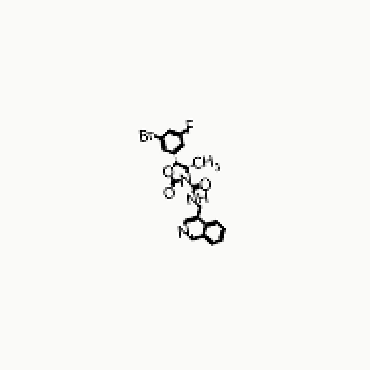 C[C@H]1[C@@H](c2cc(F)cc(Br)c2)OC(=O)N1C(=O)NCc1cncc2ccccc12